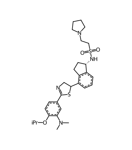 CC(C)Oc1ccc(C2=NCC(c3cccc4c3CC[C@@H]4NS(=O)(=O)CCN3CCCC3)S2)cc1N(C)C